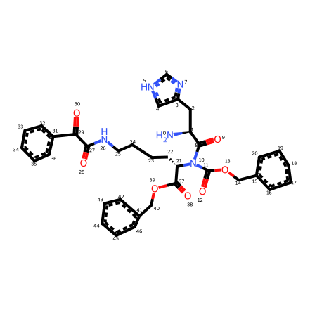 N[C@@H](Cc1c[nH]cn1)C(=O)N(C(=O)OCc1ccccc1)[C@@H](CCCCNC(=O)C(=O)c1ccccc1)C(=O)OCc1ccccc1